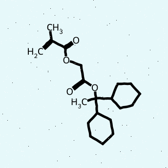 C=C(C)C(=O)OCC(=O)OC(C)(C1CCCCC1)C1CCCCC1